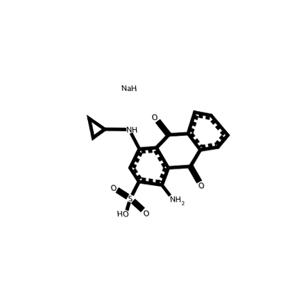 Nc1c(S(=O)(=O)O)cc(NC2CC2)c2c1C(=O)c1ccccc1C2=O.[NaH]